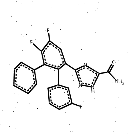 NC(=O)c1nc(-c2cc(F)c(F)c(-c3ccccc3)c2-c2cccc(F)c2)n[nH]1